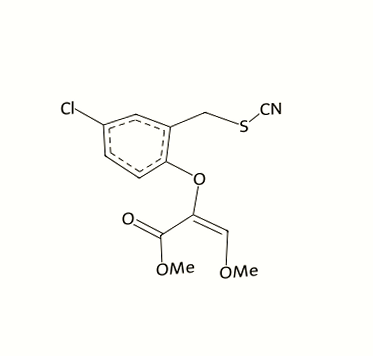 CO/C=C(/Oc1ccc(Cl)cc1CSC#N)C(=O)OC